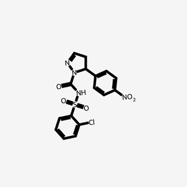 O=C(NS(=O)(=O)c1ccccc1Cl)N1N=CCC1c1ccc([N+](=O)[O-])cc1